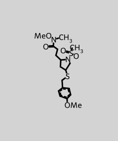 COc1ccc(CSC2CC(CCC(=O)N(C)OC)N(S(C)(=O)=O)C2)cc1